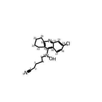 N#CCCCCN(O)c1c2c(nc3cc(Cl)ccc13)CCCC2